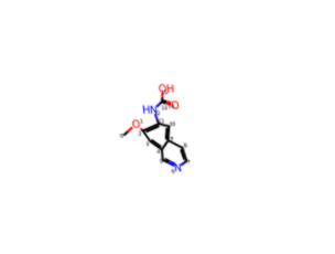 COc1cc2cnccc2cc1NC(=O)O